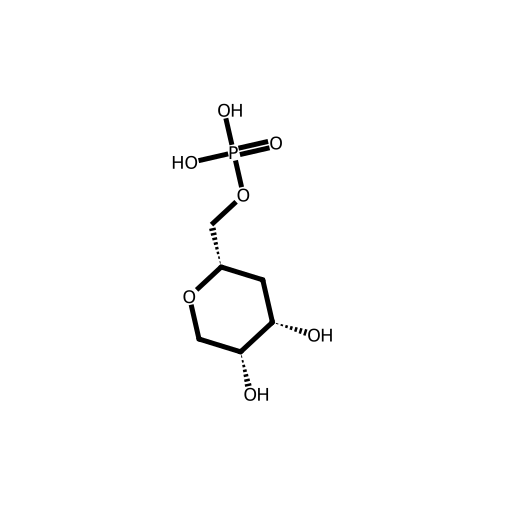 O=P(O)(O)OC[C@@H]1C[C@H](O)[C@H](O)CO1